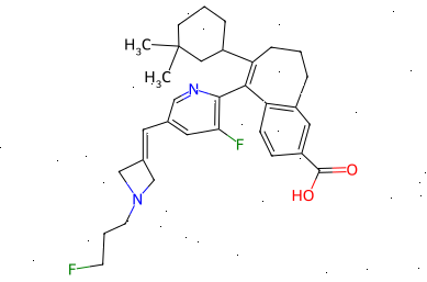 CC1(C)CCCC(C2=C(c3ncc(C=C4CN(CCCF)C4)cc3F)c3ccc(C(=O)O)cc3CCC2)C1